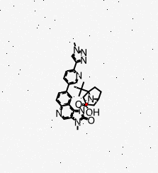 Cn1cc(-c2ccc(-c3ccc4ncc5c(c4c3)n(C3CC4CCC(C(C)(C)C)(C3)N4C(=O)O)c(=O)n5C)cn2)nn1